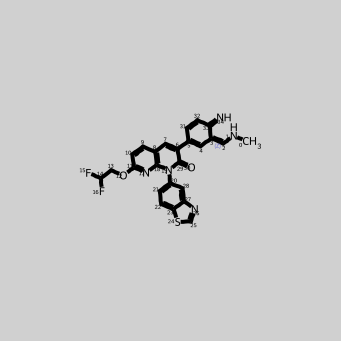 CN/C=C1/C=C(c2cc3ccc(OCC(F)F)nc3n(-c3ccc4scnc4c3)c2=O)C=CC1=N